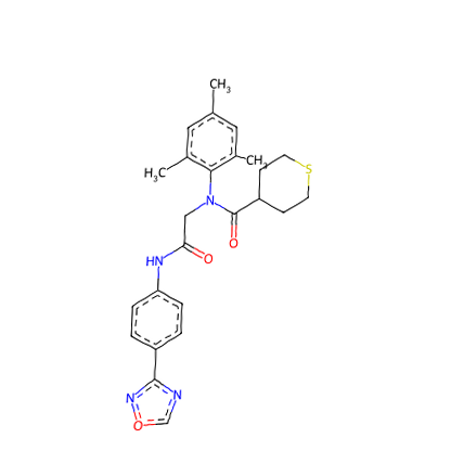 Cc1cc(C)c(N(CC(=O)Nc2ccc(-c3ncon3)cc2)C(=O)C2CCSCC2)c(C)c1